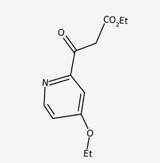 CCOC(=O)CC(=O)c1cc(OCC)ccn1